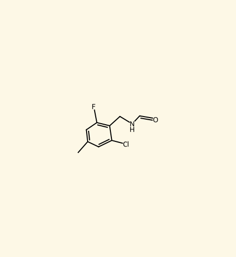 Cc1cc(F)c(CNC=O)c(Cl)c1